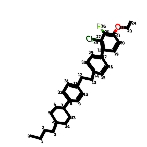 CCCCC1CCC(c2ccc(CCc3ccc(-c4ccc(OCC)c(F)c4Cl)cc3)cc2)CC1